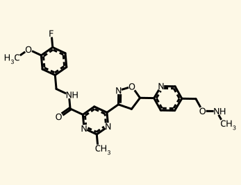 CNOCc1ccc(C2CC(c3cc(C(=O)NCc4ccc(F)c(OC)c4)nc(C)n3)=NO2)nc1